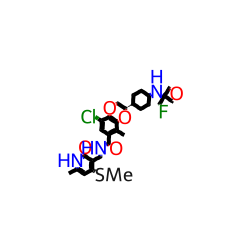 CSc1cc(C)[nH]c(=O)c1CNC(=O)c1cc(Cl)c2c(c1C)O[C@@H](C1CCC(NC3(CF)COC3)CC1)CO2